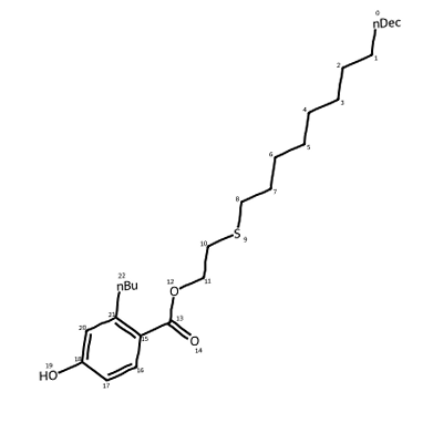 CCCCCCCCCCCCCCCCCCSCCOC(=O)c1ccc(O)cc1CCCC